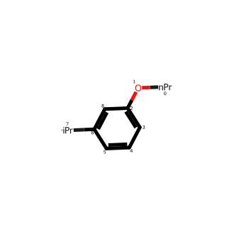 CCCOc1cccc([C](C)C)c1